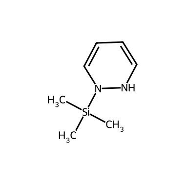 C[Si](C)(C)N1C=CC=CN1